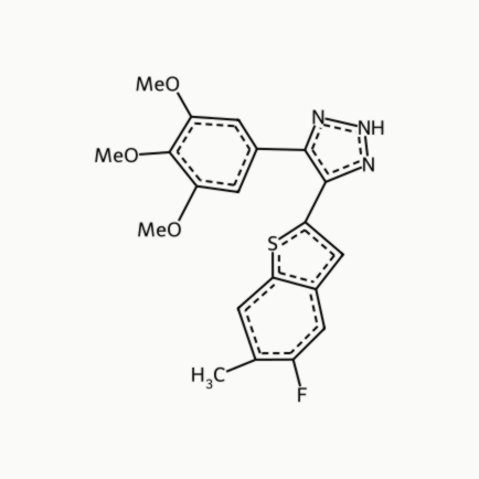 COc1cc(-c2n[nH]nc2-c2cc3cc(F)c(C)cc3s2)cc(OC)c1OC